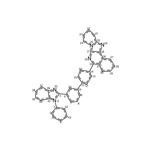 c1ccc(-n2c(-c3cccc(-c4ccc(-c5nc6c(nc7ccccn76)c6ccccc56)cc4)c3)nc3ccccc32)cc1